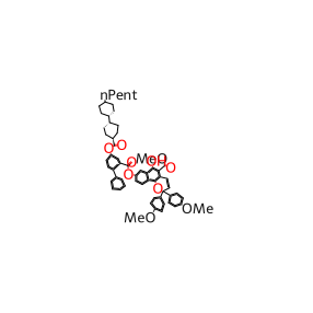 CCCCC[C@H]1CC[C@H]([C@H]2CC[C@H](C(=O)Oc3ccc(-c4ccccc4)c(C(=O)Oc4ccc5c6c(c(C(=O)OC)c(O)c5c4)C=CC(c4ccc(OC)cc4)(c4ccc(OC)cc4)O6)c3)CC2)CC1